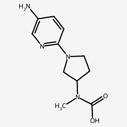 CN(C(=O)O)C1CCN(c2ccc(N)cn2)C1